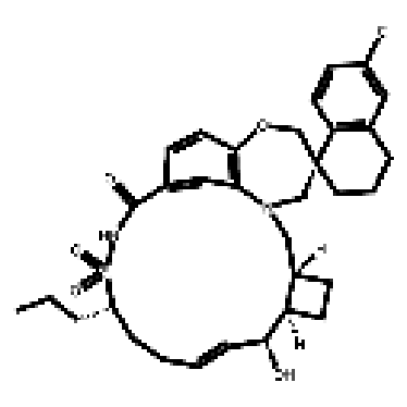 CCC[C@H]1CC/C=C/[C@H](O)[C@@H]2CC[C@H]2CN2C[C@@]3(CCCc4cc(Cl)ccc43)COc3ccc(cc32)C(=O)NS1(=O)=O